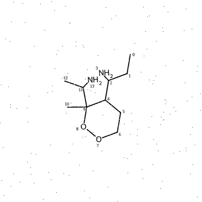 CCC(N)C1CCOOC1(C)C(C)N